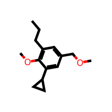 CCCc1cc(COC)cc(C2CC2)c1OC